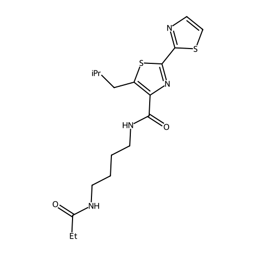 CCC(=O)NCCCCNC(=O)c1nc(-c2nccs2)sc1CC(C)C